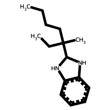 CCCCC(C)(CC)C1Nc2ccccc2N1